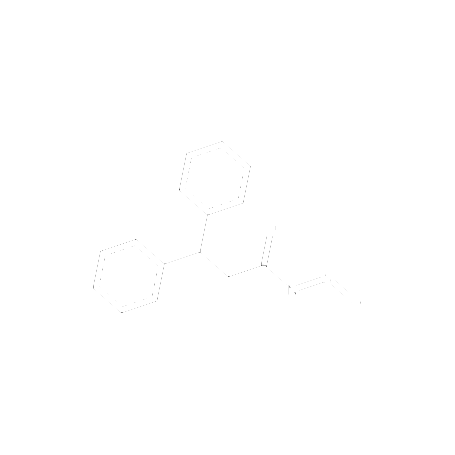 O=S=NC(=O)CC(c1ccccc1)c1ccccc1